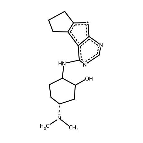 CN(C)[C@@H]1CCC(Nc2ncnc3sc4c(c23)CCC4)C(O)C1